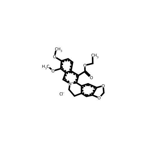 CCOC(=O)c1c2[n+](cc3c(OC)c(OC)ccc13)CCc1cc3c(cc1-2)OCO3.[Cl-]